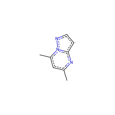 Cc1cc(C)n2nc[c]c2n1